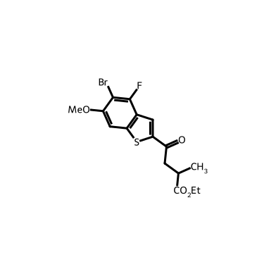 CCOC(=O)C(C)CC(=O)c1cc2c(F)c(Br)c(OC)cc2s1